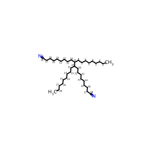 CCCCCCCCCC(CCCCCCCCC#N)C(CCCCCCCCC)CCCCCCCCC#N